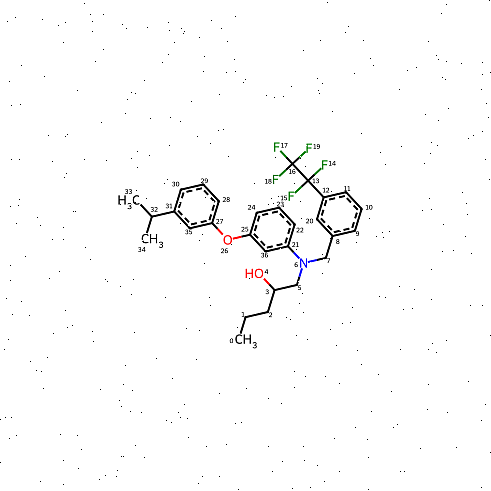 CCCC(O)CN(Cc1cccc(C(F)(F)C(F)(F)F)c1)c1cccc(Oc2cccc(C(C)C)c2)c1